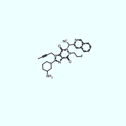 CC#CCn1c(N2CCCC(N)C2)nc2c(=O)n(CCF)n(C(C#N)c3cc4ccccc4cn3)c(=O)c21